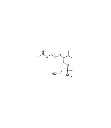 CNOCCOC(COC(C)(N)CCO)C(C)C